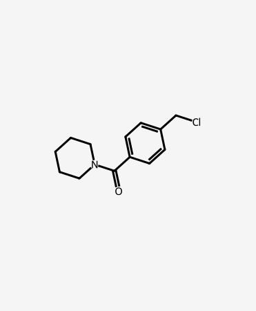 O=C(c1ccc(CCl)cc1)N1CCCCC1